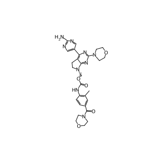 Cc1cc(C(=O)N2CCOCC2)ccc1NC(=O)OSN1CCc2c(-c3cnc(N)nc3)nc(N3CCOCC3)nc21